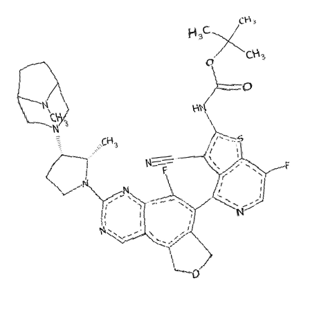 C[C@H]1[C@@H](N2CC3CCC(C2)N3C)CCN1c1ncc2c3c(c(-c4ncc(F)c5sc(NC(=O)OC(C)(C)C)c(C#N)c45)c(F)c2n1)COC3